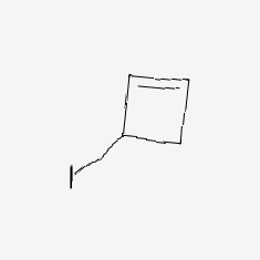 IC1C=CC1